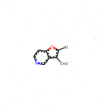 CCc1oc2ccncc2c1C=O